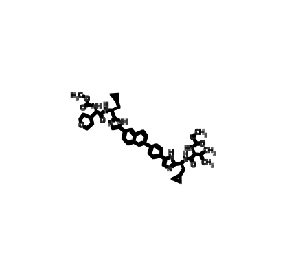 COC(=O)N[C@H](C(=O)N[C@@H](CC1CC1)c1ncc(-c2ccc(-c3ccc4cc(-c5cnc([C@H](CC6CC6)NC(=O)[C@@H](NC(=O)OC)C6CCOCC6)[nH]5)ccc4c3)cc2)[nH]1)C(C)C